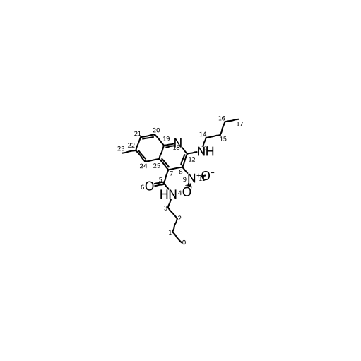 CCCCNC(=O)c1c([N+](=O)[O-])c(NCCCC)nc2ccc(C)cc12